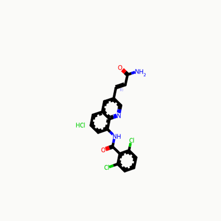 Cl.NC(=O)/C=C/c1cnc2c(NC(=O)c3c(Cl)cccc3Cl)cccc2c1